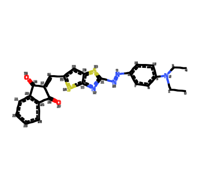 CCN(CC)c1ccc(/N=N/c2nc3sc(C=C4C(=O)c5ccccc5C4=O)cc3s2)cc1